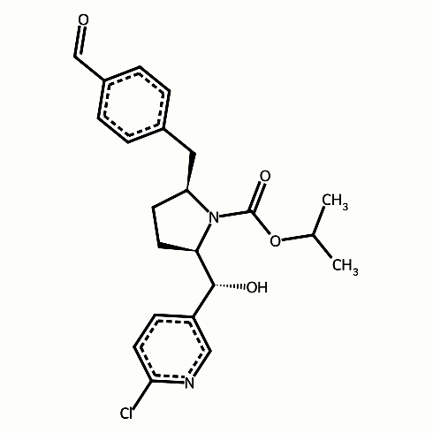 CC(C)OC(=O)N1[C@H](Cc2ccc(C=O)cc2)CC[C@@H]1[C@H](O)c1ccc(Cl)nc1